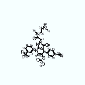 COC(=O)OC1=C(C)N(c2cccc(C(F)(F)F)c2)c2nn(CC(=O)N(C)CCN(C)C)c(=O)n2C1c1ccc(C#N)cc1